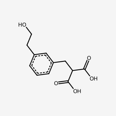 O=C(O)C(Cc1cccc(CCO)c1)C(=O)O